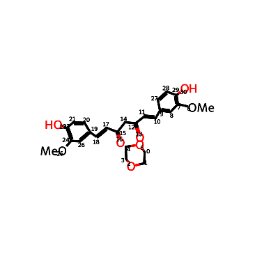 C1COCCO1.COc1cc(/C=C/C(=O)CC(=O)/C=C/c2ccc(O)c(OC)c2)ccc1O